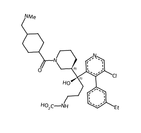 CCc1cccc(-c2c(Cl)cncc2[C@](O)(CCCNC(=O)O)[C@@H]2CCCN(C(=O)C3CCC(CNC)CC3)C2)c1